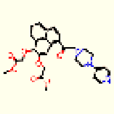 COC(=O)COC1=Cc2c(C(=O)CN3CCN(c4ccncc4)CC3)ccc3cccc(c23)C1OCC(=O)OC